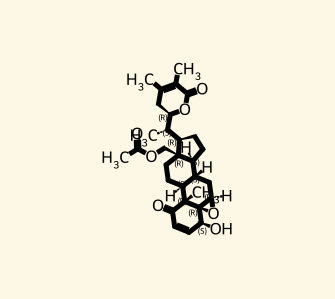 CC(=O)OC[C@]12CC[C@H]3[C@@H](C[C@H]4O[C@]45[C@@H](O)C=CC(=O)[C@]35C)[C@@H]1CC[C@@H]2[C@H](C)[C@H]1CC(C)=C(C)C(=O)O1